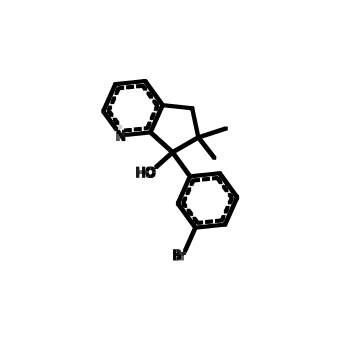 CC1(C)Cc2cccnc2C1(O)c1cccc(Br)c1